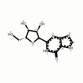 O=c1[nH]c(C2O[C@H](CO)[C@@H](O)[C@H]2O)nc2nc[nH]c12